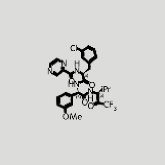 COc1cccc([C@H](NC(=O)[C@H](Cc2cccc(Cl)c2)NC(=O)c2cnccn2)C(=O)N[C@H](C(=O)C(F)(F)F)C(C)C)c1